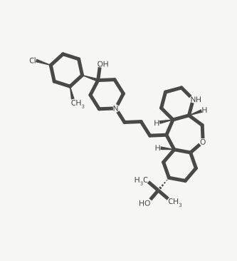 C[C@H]1C[C@@H](Cl)CC[C@H]1C1(O)CCN(CCCC2[C@H]3C[C@@H](C(C)(C)O)CCC3OC[C@H]3NCCC[C@@H]23)CC1